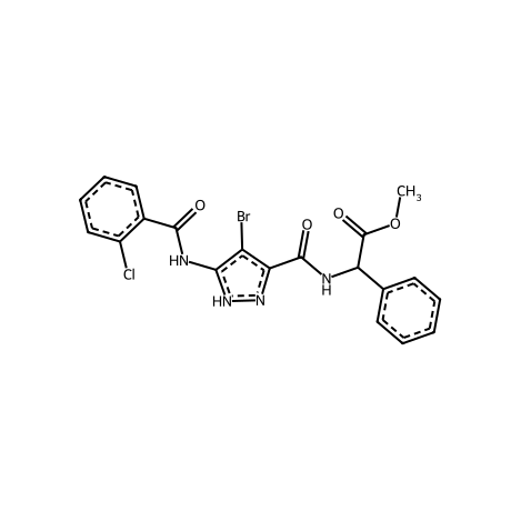 COC(=O)C(NC(=O)c1n[nH]c(NC(=O)c2ccccc2Cl)c1Br)c1ccccc1